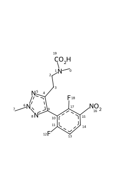 CN(CCc1nn(C)nc1-c1c(F)ccc([N+](=O)[O-])c1F)C(=O)O